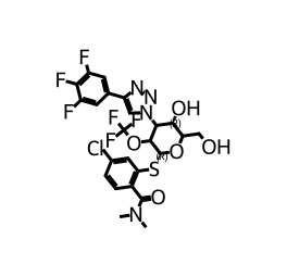 CN(C)C(=O)c1ccc(Cl)cc1S[C@H]1OC(CO)[C@H](O)C(n2cc(-c3cc(F)c(F)c(F)c3)nn2)C1OC(F)(F)F